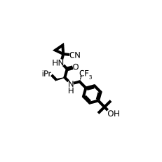 CC(C)C[C@H](N[C@@H](c1ccc(C(C)(C)O)cc1)C(F)(F)F)C(=O)NC1(C#N)CC1